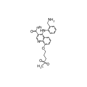 CCCC(=O)c1cnc2c(OCCCS(C)(=O)=O)cccc2c1Nc1ccccc1CN